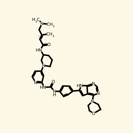 C/C(=C\C(=O)NC1CCCN(c2ccnc(NC(=O)Nc3ccc(-c4cc5c(N6CCOCC6)ncnc5[nH]4)cc3)c2)C1)CN(C)C